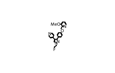 COc1cccnc1COc1ccc(-c2nn(CCF)cc2-c2ccncc2)cc1